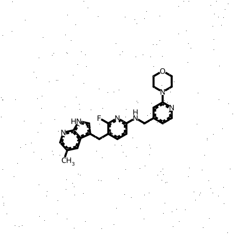 Cc1cnc2[nH]cc(Cc3ccc(NCc4ccnc(N5CCOCC5)c4)nc3F)c2c1